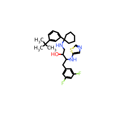 CC(C)(C)c1cccc(C2(NCC(O)C(Cc3cc(F)cc(F)c3)Nc3cncs3)CCCCC2)c1